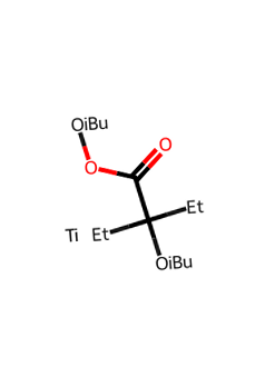 CCC(CC)(OCC(C)C)C(=O)OOCC(C)C.[Ti]